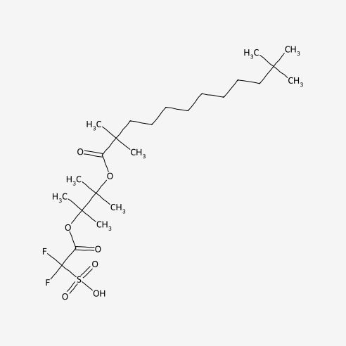 CC(C)(C)CCCCCCCCC(C)(C)C(=O)OC(C)(C)C(C)(C)OC(=O)C(F)(F)S(=O)(=O)O